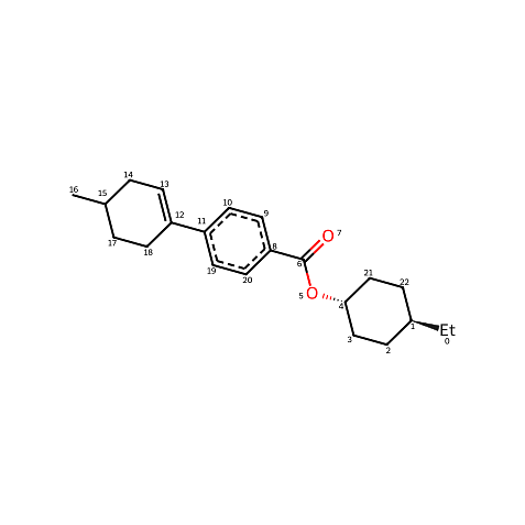 CC[C@H]1CC[C@H](OC(=O)c2ccc(C3=CCC(C)CC3)cc2)CC1